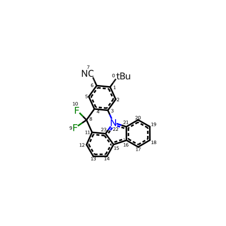 CC(C)(C)c1cc2c(cc1C#N)C(F)(F)c1cccc3c4ccccc4n-2c13